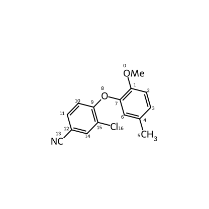 COc1ccc(C)cc1Oc1ccc(C#N)cc1Cl